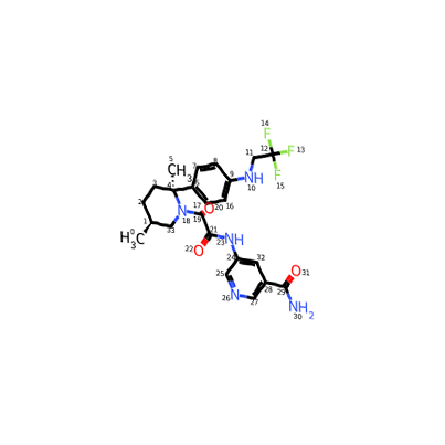 C[C@H]1CC[C@@](C)(c2ccc(NCC(F)(F)F)cc2)N(C(=O)C(=O)Nc2cncc(C(N)=O)c2)C1